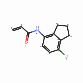 C=CC(=O)Nc1ccc(Cl)c2c1CCC2